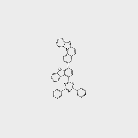 c1ccc(-c2nc(-c3ccccc3)nc(-c3ccc(-c4ccc5c(ccc6nc7ccccc7n65)c4)c4oc5ccccc5c34)n2)cc1